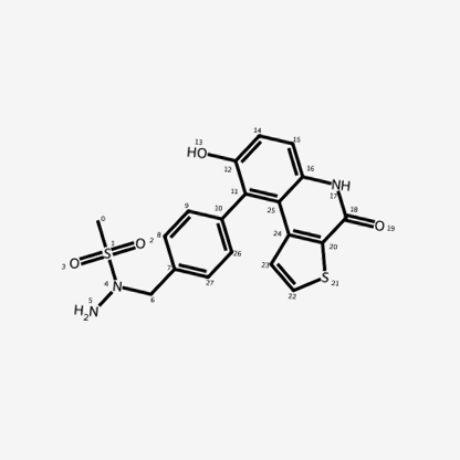 CS(=O)(=O)N(N)Cc1ccc(-c2c(O)ccc3[nH]c(=O)c4sccc4c23)cc1